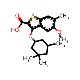 COc1cc2c(OC3CC(C)CC(C)(C)C3)c(C(=O)O)sc2cc1C